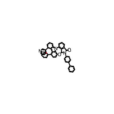 O=C1c2cccc(-n3c4cccc(-c5cccnc5)c4c4c(-c5cccnc5)cccc43)c2C(=O)N1c1ccc(-c2ccccc2)cc1